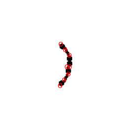 O=C(Oc1ccc(-c2ccc(OCCCCOCC3CCC4OC4C3)cc2)cc1)c1ccc(OCCCCOCC2CCC3OC3C2)cc1